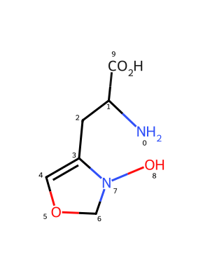 NC(CC1=COCN1O)C(=O)O